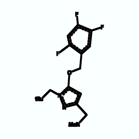 CNCc1cc(OCc2cc(F)c(F)cc2F)n(CC(C)(C)C)n1